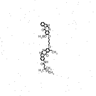 CCc1cc2c(cc1OCCCCCOc1cc3c(cc1OC)C(=O)N1c4ccccc4C[C@H]1C=N3)N=C[C@@H]1Cc3ccc(NC(=O)CCC(C)(C)SSC)cc3N1C2=O